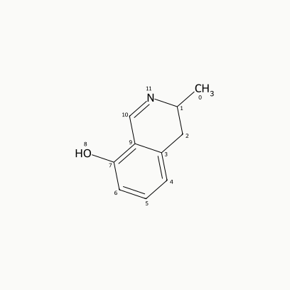 CC1Cc2cccc(O)c2C=N1